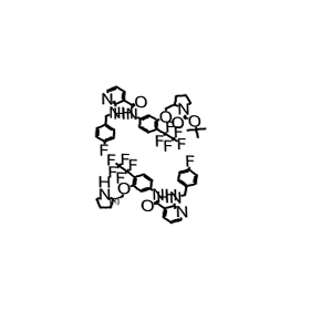 CC(C)(C)OC(=O)N1CCCC1COc1cc(NC(=O)c2cccnc2NCc2ccc(F)cc2)ccc1C(F)(F)C(F)(F)F.O=C(Nc1ccc(C(F)(F)C(F)(F)F)c(OC[C@H]2CCCN2)c1)c1cccnc1NCc1ccc(F)cc1